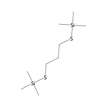 C[Si](C)(C)SCCCS[Si](C)(C)C